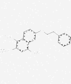 COc1cc(OC(C)=O)c2cc(OCCc3ccccc3)ccc2c1OC(C)=O